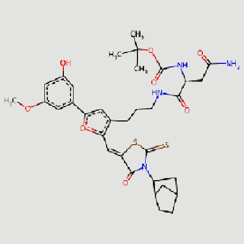 COc1cc(O)cc(-c2cc(CCCNC(=O)[C@H](CC(N)=O)NC(=O)OC(C)(C)C)c(/C=C3\SC(=S)N(C4CC5CCC4C5)C3=O)o2)c1